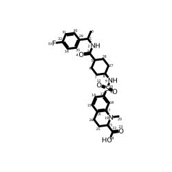 CC(NC(=O)C1CCC(NS(=O)(=O)c2ccc3c(c2)N(C)C(C(=O)O)CC3)CC1)c1ccc(F)cc1